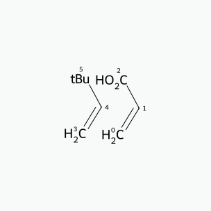 C=CC(=O)O.C=CC(C)(C)C